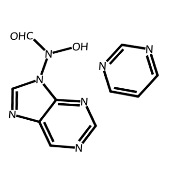 O=CN(O)n1cnc2cncnc21.c1cncnc1